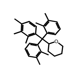 Cc1cccc(C(c2cccc(C)c2C)(c2ccc(C)c(C)c2C)C2CCCCO2)c1C